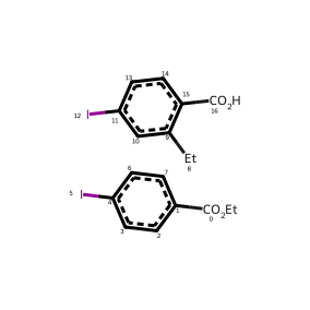 CCOC(=O)c1ccc(I)cc1.CCc1cc(I)ccc1C(=O)O